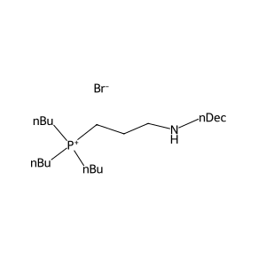 CCCCCCCCCCNCCC[P+](CCCC)(CCCC)CCCC.[Br-]